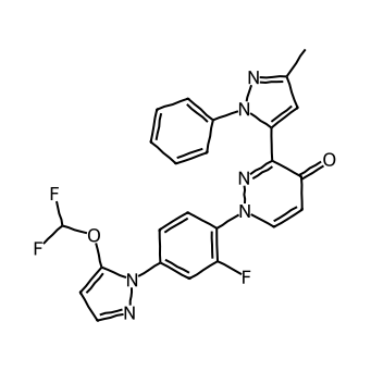 Cc1cc(-c2nn(-c3ccc(-n4nccc4OC(F)F)cc3F)ccc2=O)n(-c2ccccc2)n1